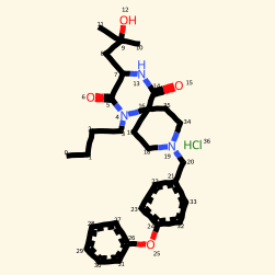 CCCCN1C(=O)C(CC(C)(C)O)NC(=O)C12CCN(Cc1ccc(Oc3ccccc3)cc1)CC2.Cl